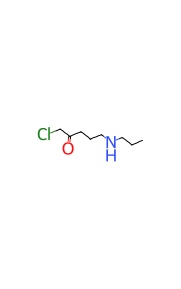 CCCNCCCC(=O)CCl